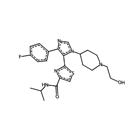 CC(C)NC(=O)c1csc(-c2c(-c3ccc(F)cc3)ncn2C2CCN(CCO)CC2)n1